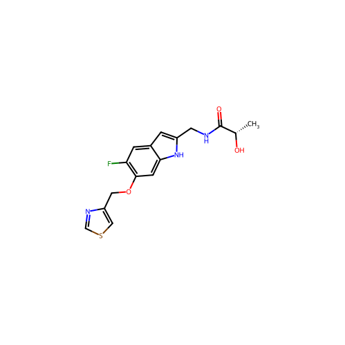 C[C@H](O)C(=O)NCc1cc2cc(F)c(OCc3cscn3)cc2[nH]1